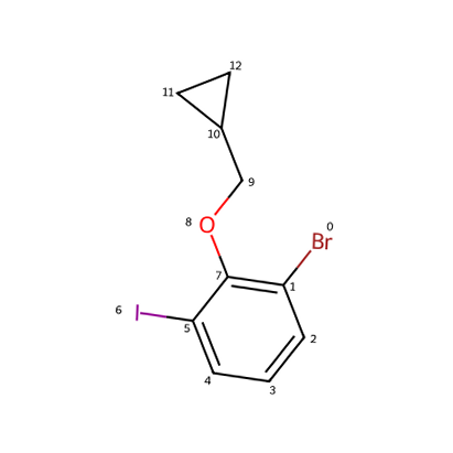 Brc1cccc(I)c1OCC1CC1